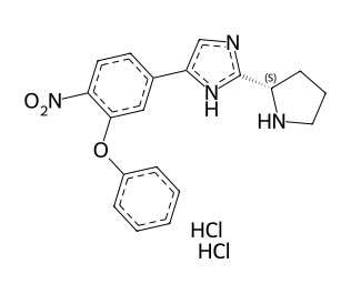 Cl.Cl.O=[N+]([O-])c1ccc(-c2cnc([C@@H]3CCCN3)[nH]2)cc1Oc1ccccc1